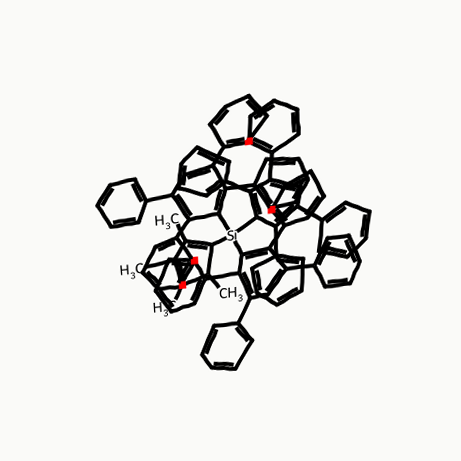 CC1=C(C)C(C)C([Si](c2c(-c3ccccc3)c(-c3ccccc3)cc(-c3ccccc3)c2-c2ccccc2)(c2c(-c3ccccc3)c(-c3ccccc3)cc(-c3ccccc3)c2-c2ccccc2)c2c(-c3ccccc3)c(-c3ccccc3)cc(-c3ccccc3)c2-c2ccccc2)=C1C